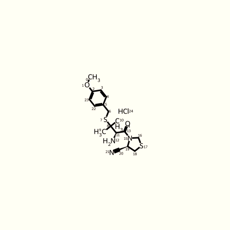 COc1ccc(CSC(C)(C)[C@H](N)C(=O)N2CSC[C@H]2C#N)cc1.Cl